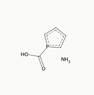 N.O=C(O)p1cccc1